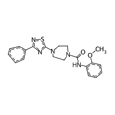 COc1ccccc1NC(=O)N1CCN(c2nc(-c3ccccc3)ns2)CC1